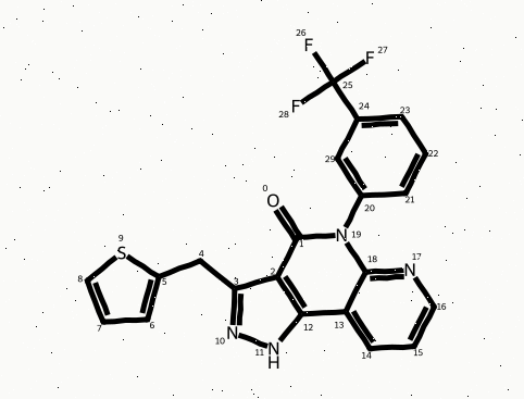 O=c1c2c(Cc3cccs3)n[nH]c2c2cccnc2n1-c1cccc(C(F)(F)F)c1